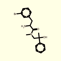 CN(CC(C)(O)c1ccccc1)C(=O)C(N)Cc1cccc(Br)c1